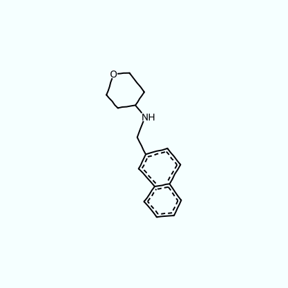 c1ccc2cc(CNC3CCOCC3)ccc2c1